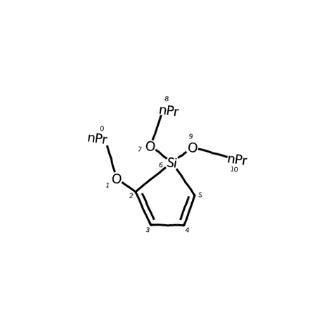 CCCOC1=CC=C[Si]1(OCCC)OCCC